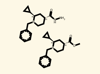 COC(=O)[C@@H]1CCN(Cc2ccccc2)[C@@H](C2CC2)C1.NNC(=O)[C@@H]1CCN(Cc2ccccc2)[C@@H](C2CC2)C1